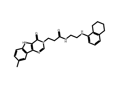 Cc1ccc2[nH]c3c(=O)n(CCC(=O)NCCNc4cccc5c4CCCC5)cnc3c2c1